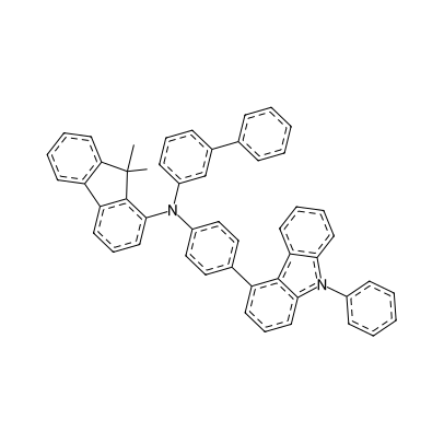 CC1(C)c2ccccc2-c2cccc(N(c3ccc(-c4cccc5c4c4ccccc4n5-c4ccccc4)cc3)c3cccc(-c4ccccc4)c3)c21